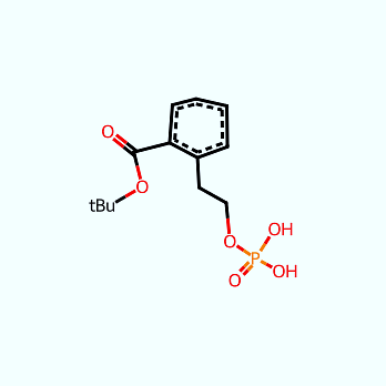 CC(C)(C)OC(=O)c1ccccc1CCOP(=O)(O)O